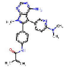 C=C(C)C(=O)Nc1ccc(-c2c(-c3ccc(N(C)C)nc3)c3c(N)ncnc3n2C)cc1